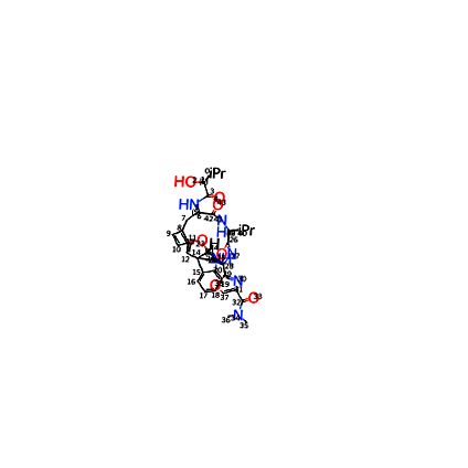 CC(C)[C@H](O)C(=O)N[C@H]1Cc2ccc3c(c2)C2(c4ccccc4N[C@H]2O3)c2oc(nc2-c2nc(C(=O)N(C)C)co2)[C@H](C(C)C)NC1=O